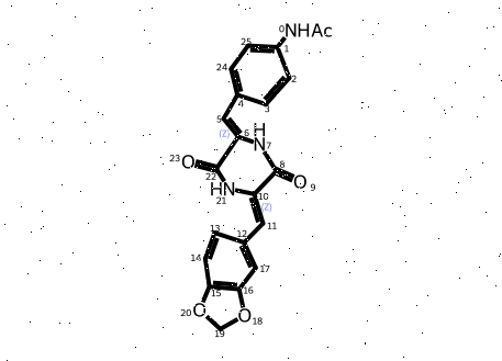 CC(=O)Nc1ccc(/C=c2\[nH]c(=O)/c(=C/c3ccc4c(c3)OCO4)[nH]c2=O)cc1